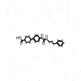 O=C(NCCCc1ccccc1)Nc1ccc(C2CCC(C(=O)O)CC2)cc1